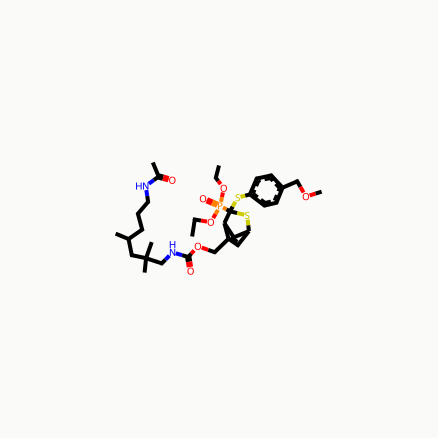 CCOP(=O)(OCC)C1(Sc2ccc(COC)cc2)SC2C=C(COC(=O)NCC(C)(C)CC(C)CCCNC(C)=O)C1C2